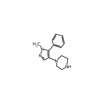 Cn1ncc(N2CCNCC2)c1-c1ccccc1